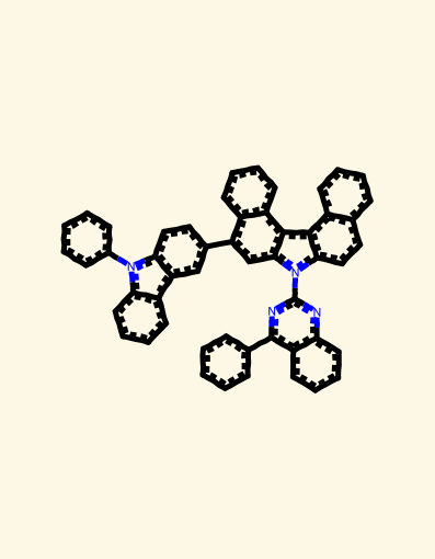 c1ccc(-c2nc(-n3c4ccc5ccccc5c4c4c5ccccc5c(-c5ccc6c(c5)c5ccccc5n6-c5ccccc5)cc43)nc3ccccc23)cc1